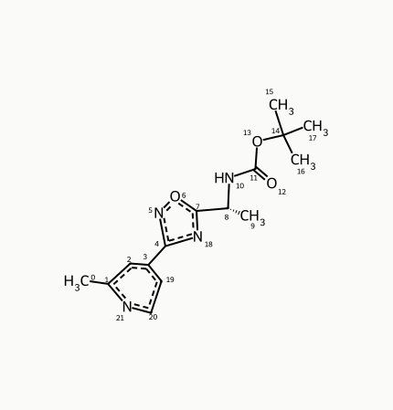 Cc1cc(-c2noc([C@@H](C)NC(=O)OC(C)(C)C)n2)ccn1